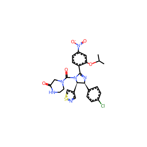 CC(C)Oc1cc([N+](=O)[O-])ccc1C1=N[C@@H](c2ccc(Cl)cc2)[C@@H](c2cnsc2)N1C(=O)N1CCNC(=O)C1